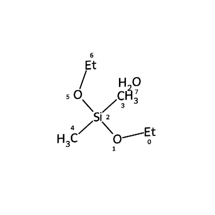 CCO[Si](C)(C)OCC.O